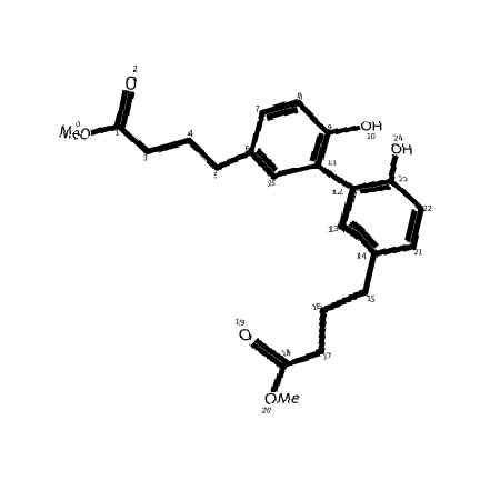 COC(=O)CCCc1ccc(O)c(-c2cc(CCCC(=O)OC)ccc2O)c1